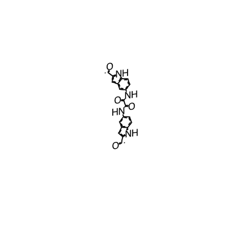 O=[C]c1cc2cc(NC(=O)C(=O)Nc3ccc4[nH]c([C]=O)cc4c3)ccc2[nH]1